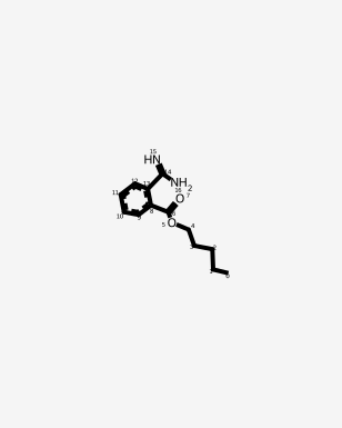 CCCCCOC(=O)c1ccccc1C(=N)N